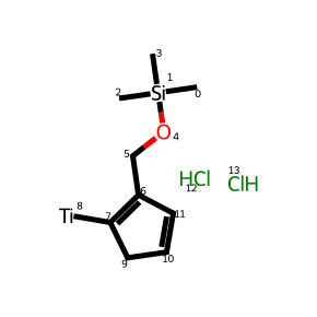 C[Si](C)(C)OCC1=[C]([Ti])CC=C1.Cl.Cl